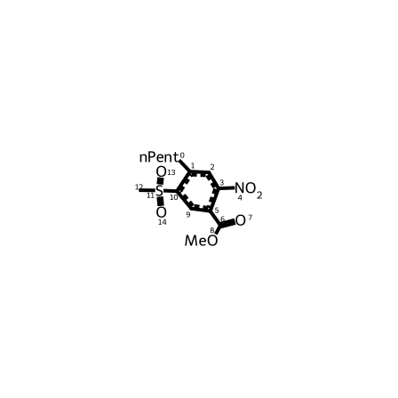 CCCCCc1cc([N+](=O)[O-])c(C(=O)OC)cc1S(C)(=O)=O